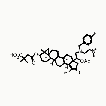 CC(=O)OC(CN(CCN(C)C)Cc1ccc(F)cc1)C12CC[C@]3(C)[C@H](CC[C@@H]4[C@@]5(C)CC[C@H](OC(=O)CC(C)(C)C(=O)O)C6(C)C[C@]65CC[C@]43C)C1=C(C(C)C)C(=O)C2